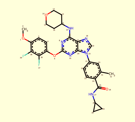 COc1ccc(Oc2nc(NC3CCOCC3)c3ncn(-c4ccc(C(=O)NC5CC5)c(C)c4)c3n2)c(F)c1F